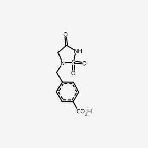 O=C1CN(Cc2ccc(C(=O)O)cc2)S(=O)(=O)N1